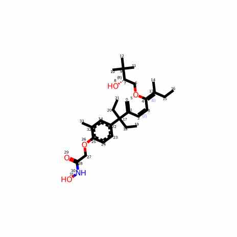 C=C(/C=C\C(OC[C@H](O)C(C)(C)C)=C(\C)CC)C(CC)(CC)c1ccc(OCC(=O)NO)c(C)c1